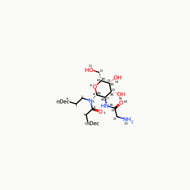 CCCCCCCCCCCCN(C(=O)CCCCCCCCCCC)[C@@H]1O[C@H](CO)[C@H](O)[C@H](O)[C@H]1NC(=O)CN